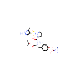 Cc1n[nH]cc1S(=O)(=O)N1CCC[C@H]1C(=O)N[C@@H](Cc1ccc(OC(=O)N(C)C)cc1)C(=O)OC(C)C